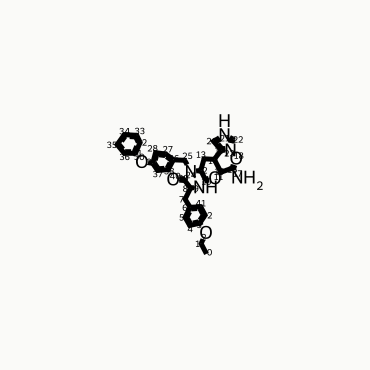 CCOc1ccc(CC2NC(=O)C(CC(CC(N)=O)c3c[nH]cn3)N(Cc3ccc(Oc4ccccc4)cc3)C2=O)cc1